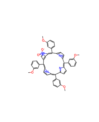 COc1cccc(-c2c3nc(c(-c4cccc(OC)c4)c4ccc([nH]4)c(-c4cccc(OC)c4)c4c([N+](=O)[O-])c(c(-c5cccc(OC)c5)c5ccc2[nH]5)C=N4)C=C3)c1